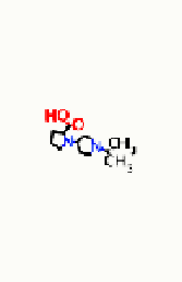 CC(C)N1CCC(N2CCCC2C(=O)O)CC1